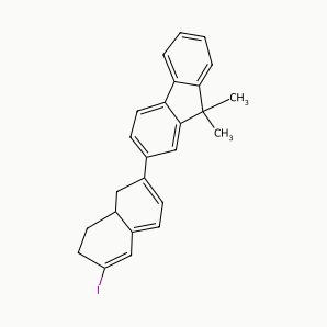 CC1(C)c2ccccc2-c2ccc(C3=CC=C4C=C(I)CCC4C3)cc21